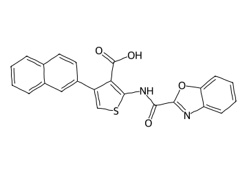 O=C(Nc1scc(-c2ccc3ccccc3c2)c1C(=O)O)c1nc2ccccc2o1